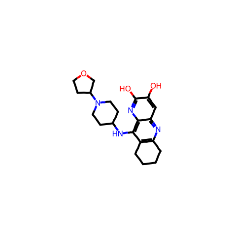 Oc1cc2nc3c(c(NC4CCN(C5CCOC5)CC4)c2nc1O)CCCC3